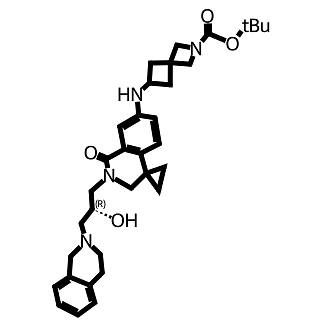 CC(C)(C)OC(=O)N1CC2(CC(Nc3ccc4c(c3)C(=O)N(C[C@H](O)CN3CCc5ccccc5C3)CC43CC3)C2)C1